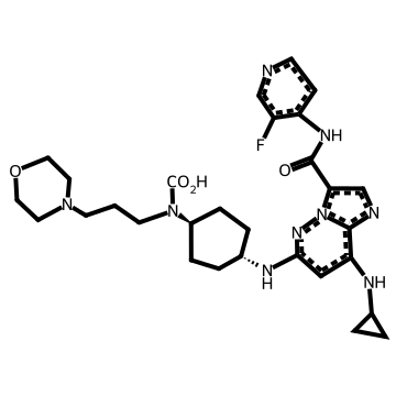 O=C(Nc1ccncc1F)c1cnc2c(NC3CC3)cc(N[C@H]3CC[C@H](N(CCCN4CCOCC4)C(=O)O)CC3)nn12